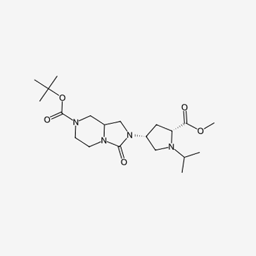 COC(=O)[C@H]1C[C@@H](N2CC3CN(C(=O)OC(C)(C)C)CCN3C2=O)CN1C(C)C